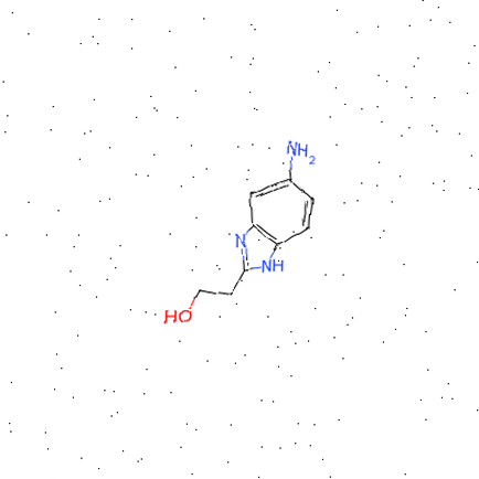 Nc1ccc2[nH]c(CCO)nc2c1